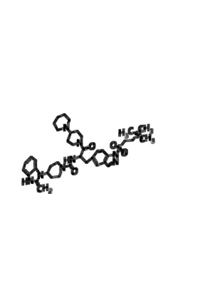 C=C1Nc2ccccc2N1C1CCN(C(=O)NC(Cc2ccc3c(cnn3S(=O)(=O)CC[Si](C)(C)C)c2)C(=O)N2CCC(N3CCCCC3)CC2)CC1